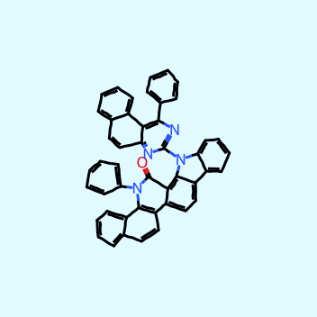 O=c1c2c(ccc3c4ccccc4n(-c4nc(-c5ccccc5)c5c(ccc6ccccc65)n4)c32)c2ccc3ccccc3c2n1-c1ccccc1